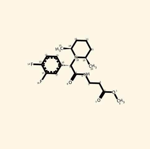 COC(=O)CCNC(=O)[C@H](c1ccc(F)c(F)c1)N1[C@H](C)CCC[C@@H]1C